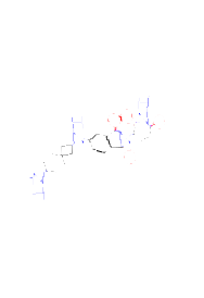 CNC1CCC2(CC1)CC(Nc1ccc3c(c1)C(=O)N(C1CCC(=O)NC1=O)C3=O)C2